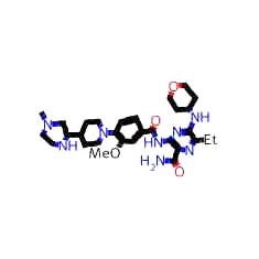 CCc1nc(C(N)=O)c(NC(=O)c2ccc(N3CCC(C4CN(C)CCN4)CC3)c(OC)c2)nc1NC1CCOCC1